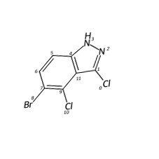 Clc1n[nH]c2ccc(Br)c(Cl)c12